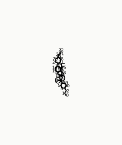 CCCc1ccc(C(=O)Oc2cc3ccc(C4CCC(CCC)CC4)c(F)c3s2)cc1